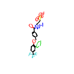 O=C(NCCS(=O)(=O)O)c1ccc(COc2ccc(C(F)(F)F)cc2Cl)cc1